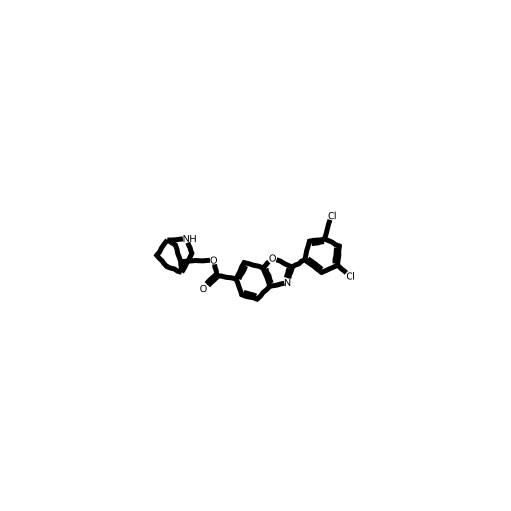 O=C(OC1CC2CCC1CN2)c1ccc2nc(-c3cc(Cl)cc(Cl)c3)oc2c1